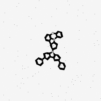 c1ccc(-c2ccc3c(c2)c2cc(-c4ccccc4)ccc2n3-c2ccc3c(c2)c2cccc4c2n3-c2ccccc2O4)cc1